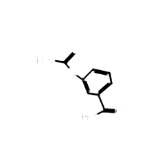 CC(=S)Sc1cccc(C(=O)O)c1